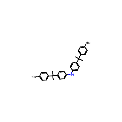 CC(C)(C)c1ccc(C(C)(C)c2ccc(Nc3ccc(C(C)(C)c4ccc(C(C)(C)C)cc4)cc3)cc2)cc1